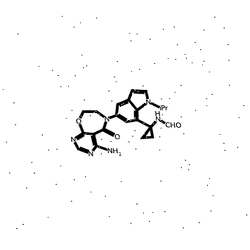 CC(C)n1ccc2cc(N3CCOc4ncnc(N)c4C3=O)cc(C3(NC=O)CC3)c21